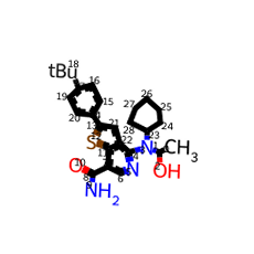 CC(O)N(c1ncc(C(N)=O)c2sc(-c3ccc(C(C)(C)C)cc3)cc12)C1CCCCC1